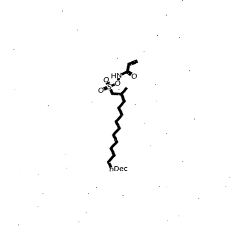 C=CC(=O)NOS(=O)(=O)CC(C)CCCCCCCCCCCCCCCCCCCC